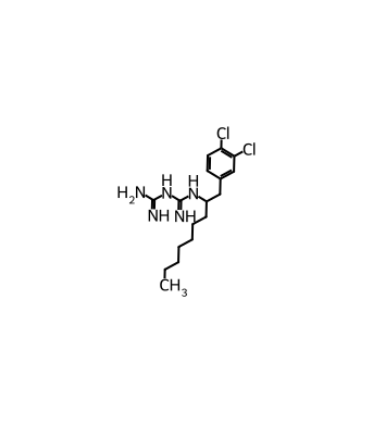 CCCCCCCC(Cc1ccc(Cl)c(Cl)c1)NC(=N)NC(=N)N